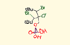 CC(C)(C)C(Br)C(Cl)(COP(=O)(O)O)C(Br)C(C)(C)C